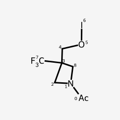 CC(=O)N1CC(COI)(C(F)(F)F)C1